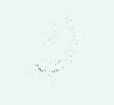 CCCCN(CCSSCCC(=O)N[C@H](Cc1ccccc1)C(=O)N[C@H]1CSSC[C@@H](C(=O)N[C@H](CO)[C@@H](C)O)NC(=O)[C@H]([C@@H](C)O)NC(=O)[C@H](CCCCCN)NC(=O)[C@@H](Cc2c[nH]c3ccccc23)NC(=O)[C@H](Cc2ccccc2)NC1=O)C(=O)O[C@@H](C(=O)O[C@H]1C[C@@]2(O)[C@@H](OC(=O)c3ccccc3)[C@@H]3[C@]4(O)CO[C@@H]4C[C@H](OC)[C@@]3(C)C(=O)[C@H](OC)C(=C1C)C2(C)C)[C@@H](NC(=O)OC(C)(C)C)c1ccccc1